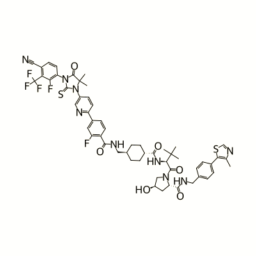 Cc1ncsc1-c1ccc(CNC(=O)[C@@H]2C[C@@H](O)CN2C(=O)[C@@H](NC(=O)[C@H]2CC[C@H](CNC(=O)c3ccc(-c4ccc(N5C(=S)N(c6ccc(C#N)c(C(F)(F)F)c6F)C(=O)C5(C)C)cn4)cc3F)CC2)C(C)(C)C)cc1